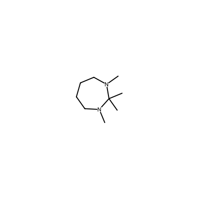 CN1CCCCN(C)C1(C)C